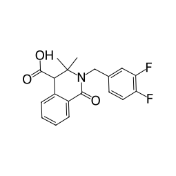 CC1(C)C(C(=O)O)c2ccccc2C(=O)N1Cc1ccc(F)c(F)c1